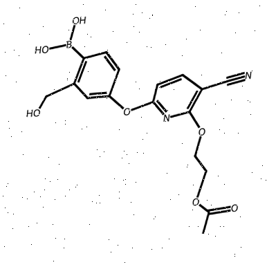 CC(=O)OCCOc1nc(Oc2ccc(B(O)O)c(CO)c2)ccc1C#N